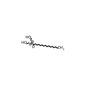 CCCCCCCCCCCCCCCC(=O)N(OCCO)OCCO